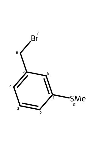 CSc1cccc(CBr)c1